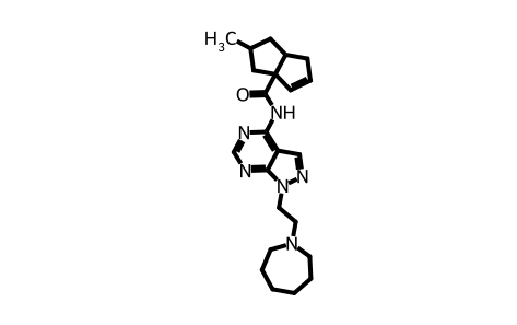 CC1CC2CC=CC2(C(=O)Nc2ncnc3c2cnn3CCN2CCCCCC2)C1